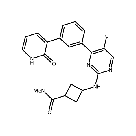 CNC(=O)C1CC(Nc2ncc(Cl)c(-c3cccc(-c4ccc[nH]c4=O)c3)n2)C1